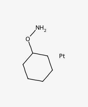 NOC1CCCCC1.[Pt]